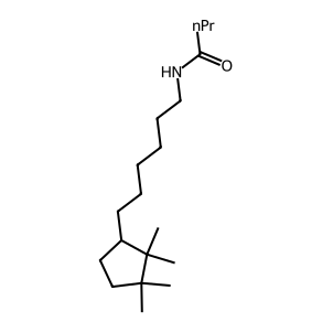 CCCC(=O)NCCCCCCC1CCC(C)(C)C1(C)C